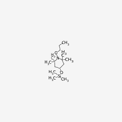 CCCON1C(C)(C)CC(O[Si](C)(C)C)CC1(C)C